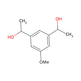 COc1cc(C(C)O)cc(C(C)O)c1